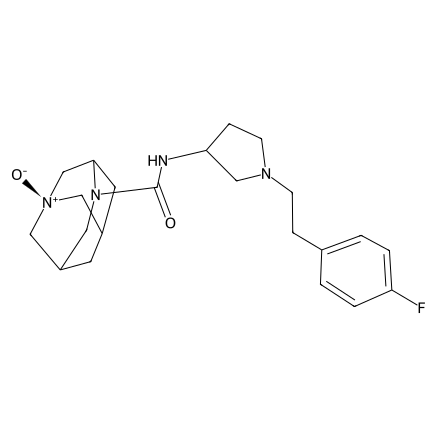 O=C(NC1CCN(CCc2ccc(F)cc2)C1)N1CC2CC3CC1C[N@+]([O-])(C3)C2